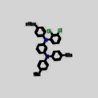 CCCCCCc1ccc(N(c2cccc(N(c3ccc(C(C)(C)C)cc3)c3ccc(C(C)(C)C)cc3)c2)c2cccc(Cl)c2Cl)cc1